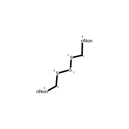 CCCCCCCCCCSSSCCCCCCCCCC